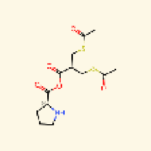 CC(=O)SCC(CSC(C)=O)C(=O)OC(=O)[C@@H]1CCCN1